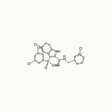 COP(=O)(c1cc(C)cc(Cl)c1)c1c(C(=O)NCc2ccc[n+]([O-])c2)[nH]c2ccc(Cl)cc12